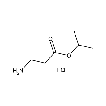 CC(C)OC(=O)CCN.Cl